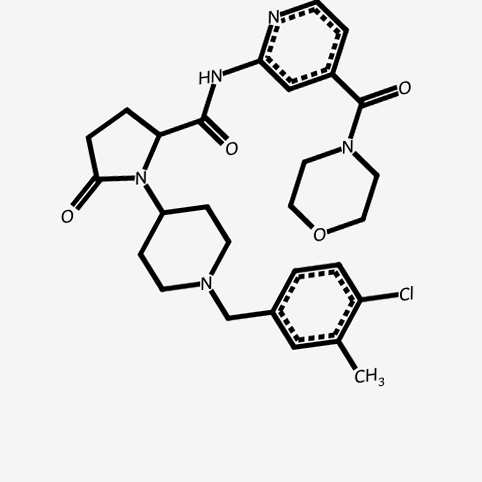 Cc1cc(CN2CCC(N3C(=O)CCC3C(=O)Nc3cc(C(=O)N4CCOCC4)ccn3)CC2)ccc1Cl